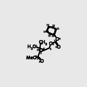 COC(=O)C1C(COC(=O)Oc2ccccc2)C1(C)C